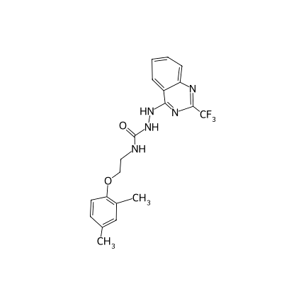 Cc1ccc(OCCNC(=O)NNc2nc(C(F)(F)F)nc3ccccc23)c(C)c1